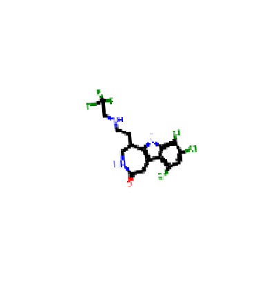 O=C1Cc2c([nH]c3c(Cl)c(Cl)cc(Br)c23)C(CCNCC(F)(F)F)CN1